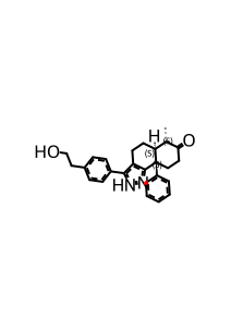 C[C@@H]1C(=O)CC[C@]2(c3ccccc3)c3n[nH]c(-c4ccc(CCO)cc4)c3CC[C@@H]12